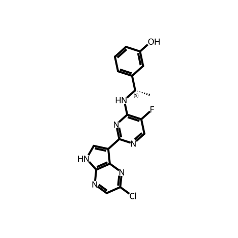 C[C@H](Nc1nc(-c2c[nH]c3ncc(Cl)nc23)ncc1F)c1cccc(O)c1